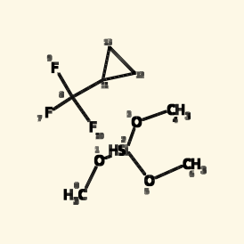 CO[SiH](OC)OC.FC(F)(F)C1CC1